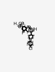 CS(=O)(=O)c1cc(F)c(CN2C(=O)NCC2C2CCN(c3cnc(Cl)cn3)CC2)c(F)c1